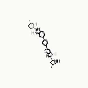 C[C@@H]1CN[C@H](c2nc3sc(-c4ccc(-c5ccc6nc([C@@H]7CC[C@H](C)N7)[nH]c6c5)cc4)cc3[nH]2)C1